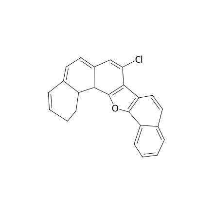 ClC1=CC2=CC=C3C=CCCC3C2c2oc3c(ccc4ccccc43)c21